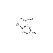 COC(=O)c1cc(C(C)=O)ccc1S